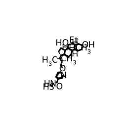 CC[C@H]1[C@@H](O)[C@@H]2[C@H](CC[C@]3(C)[C@@H]([C@H](C)CCOc4ccc(C(=O)NS)cn4)CC[C@@H]23)[C@@]2(C)CC[C@@H](O)C[C@@H]12